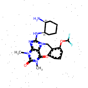 Cn1c(=O)c2c(nc(N[C@@H]3CCCC[C@@H]3N)n2Cc2ccccc2OC(F)F)n(C)c1=O